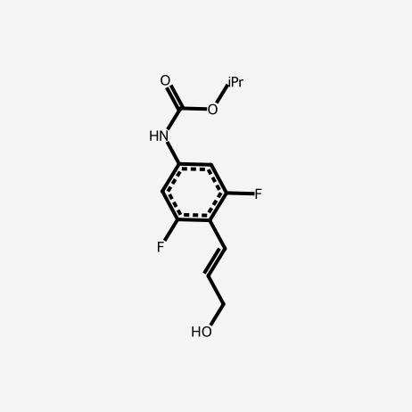 CC(C)OC(=O)Nc1cc(F)c(C=CCO)c(F)c1